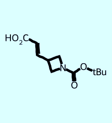 CC(C)(C)OC(=O)N1CC(C=CC(=O)O)C1